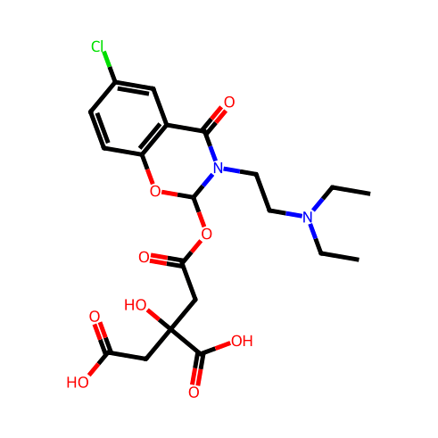 CCN(CC)CCN1C(=O)c2cc(Cl)ccc2OC1OC(=O)CC(O)(CC(=O)O)C(=O)O